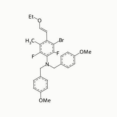 CCOC=Cc1c(C)c(F)c(N(Cc2ccc(OC)cc2)Cc2ccc(OC)cc2)c(F)c1Br